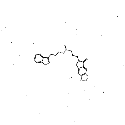 CN(CCCCc1csc2ccccc12)CCCN1Cc2cc3c(cc2C1=O)OCO3